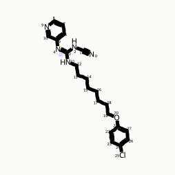 N#CN/C(=N\c1cccnc1)NCCCCCCCCOc1ccc(Cl)cc1